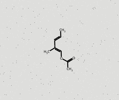 CC=CC(C)=COC(C)=O